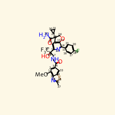 COc1cc(C(=O)NC[C@](O)(c2cc3c(c(-c4ccc(F)cc4)n2)OC[C@@]3(C(N)=O)C2CC2)C(F)(F)F)cc2sc(C)nc12